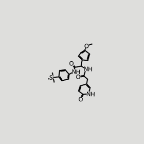 COc1ccc(C(NC(=O)Cc2ccc(=O)[nH]c2)C(=O)Nc2ccc([Si](C)(C)C)cc2)cc1